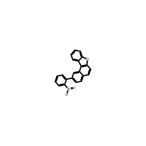 O=[N+]([O-])c1ccccc1-c1ccc2ccc3oc4ccccc4c3c2c1